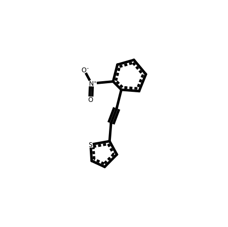 O=[N+]([O-])c1ccccc1C#Cc1cccs1